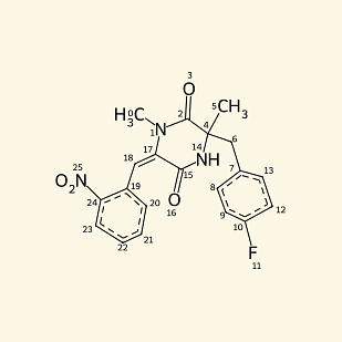 CN1C(=O)C(C)(Cc2ccc(F)cc2)NC(=O)/C1=C\c1ccccc1[N+](=O)[O-]